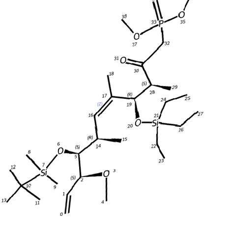 C=C[C@H](OC)[C@@H](O[Si](C)(C)C(C)(C)C)[C@H](C)/C=C(/C)[C@H](O[Si](CC)(CC)CC)[C@H](C)C(=O)CP(=O)(OC)OC